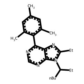 CCCCC(CC)n1c(CC)nc2c(-c3c(C)cc(C)cc3C)ncnc21